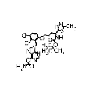 Cc1nnc(C(CCCOc2ccc(Cl)c(Cl)c2Cn2cnc3c(OC(N)=O)ncnc32)NC(=O)OC(C)(C)C)s1